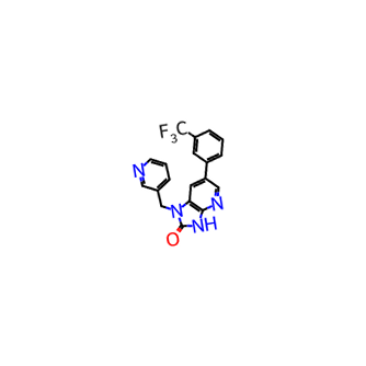 O=c1[nH]c2ncc(-c3cccc(C(F)(F)F)c3)cc2n1Cc1cccnc1